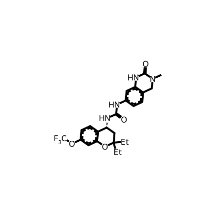 CCC1(CC)C[C@@H](NC(=O)Nc2ccc3c(c2)NC(=O)N(C)C3)c2ccc(OC(F)(F)F)cc2O1